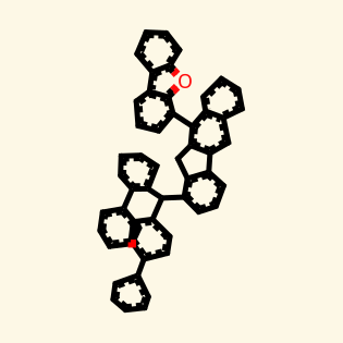 c1ccc(-c2ccc(C(c3ccccc3-c3ccccc3)c3cccc4c3Cc3c-4cc4ccccc4c3-c3cccc4c3oc3ccccc34)cc2)cc1